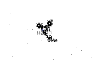 COC(=O)CCC[C@H](O)[C@H](O)/C=C/c1c([C@@H](O)COc2ccc(F)cc2)sc2ccccc12